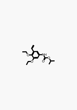 C=Cc1cc(NC(=O)OC(C)C)cc(OCC)c1OCC